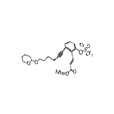 COC(=O)C=Cc1c(C#CCCCCOC2CCCCO2)cccc1OS(=O)(=O)C(F)(F)F